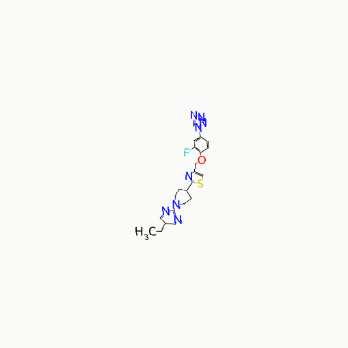 CCC1C=NC(N2CCC(c3nc(COc4ccc(-n5cnnn5)cc4F)cs3)CC2)=NC1